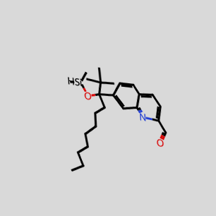 CCCCCCCCC(O[SiH](C)C)(c1ccc2ccc(C=O)nc2c1)C(C)(C)C